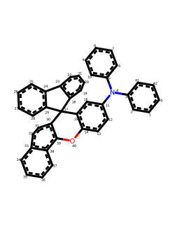 c1ccc(N(c2ccccc2)c2ccc3c(c2)C2(c4ccccc4-c4ccccc42)c2ccc4ccccc4c2O3)cc1